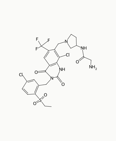 CCS(=O)(=O)c1ccc(Cl)cc1Cn1c(=O)[nH]c2c(Cl)c(CN3CCC(NC(=O)CN)C3)c(C(F)(F)F)cc2c1=O